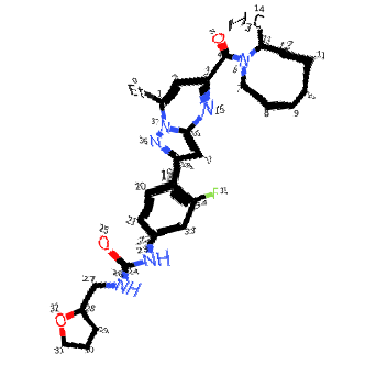 CCc1cc(C(=O)N2CCCCCCC2C)nc2cc(-c3ccc(NC(=O)NCC4CCCO4)cc3F)nn12